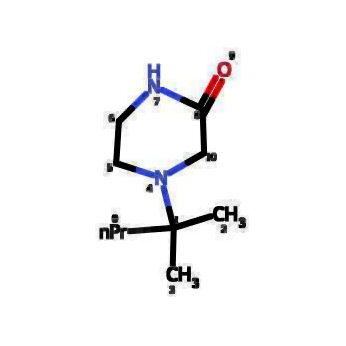 CCCC(C)(C)N1CCNC(=O)C1